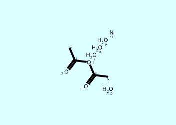 CC(=O)OC(C)=O.O.O.O.O.[Ni]